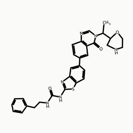 CC(C1CNCCO1)n1cnc2ccc(-c3ccc4sc(NC(=O)NCCc5ccccc5)nc4c3)cc2c1=O